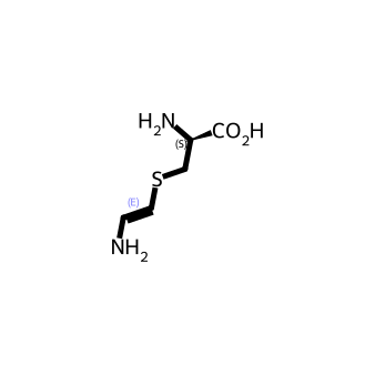 N/C=C/SC[C@@H](N)C(=O)O